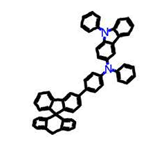 c1ccc(N(c2ccc(-c3ccc4c(c3)-c3ccccc3C43c4ccccc4Cc4ccccc43)cc2)c2ccc3c(c2)c2ccccc2n3-c2ccccc2)cc1